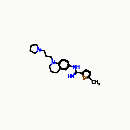 Cc1ccc(C(=N)Nc2ccc3c(c2)CCCN3CCCN2CCCC2)s1